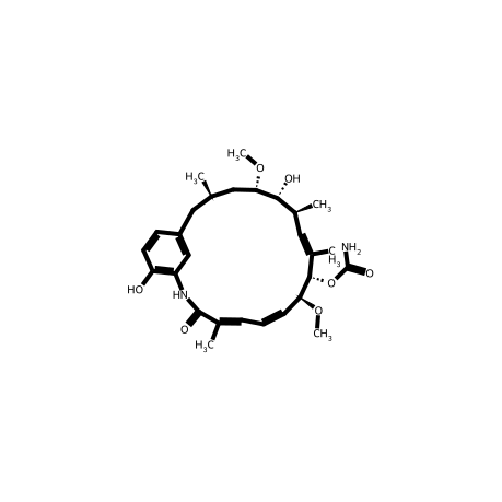 CO[C@H]1/C=C\C=C(/C)C(=O)Nc2cc(ccc2O)C[C@@H](C)C[C@H](OC)[C@H](O)[C@@H](C)/C=C(\C)[C@@H]1OC(N)=O